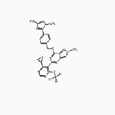 [2H]C([2H])([2H])Oc1ncnc(C2CC2)c1-c1nc(OCc2ccc(-c3nc(C(F)(F)F)cn3C)cc2)c2nn(C)cc2n1